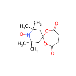 CC1(C)CC2(CC(C)(C)N1O)OC(=O)CCC(=O)O2